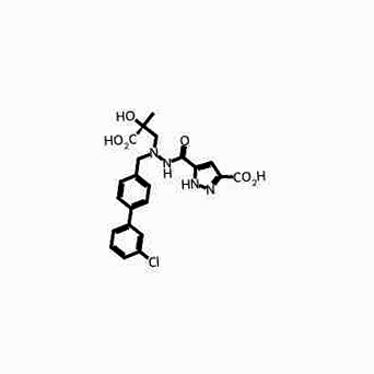 C[C@@](O)(CN(Cc1ccc(-c2cccc(Cl)c2)cc1)NC(=O)c1cc(C(=O)O)n[nH]1)C(=O)O